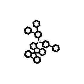 c1ccc(-c2ccc(N(c3ccc(-c4ccccc4)c(-c4ccccc4)c3)c3cccc4c3-c3ccccc3C43c4ccccc4-c4ccccc43)cc2)cc1